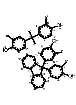 Cc1cc(C(C)(C)c2ccc(O)c(C)c2)ccc1O.Cc1cc(C2(c3ccc(O)c(C)c3)c3ccccc3-c3ccccc32)ccc1O